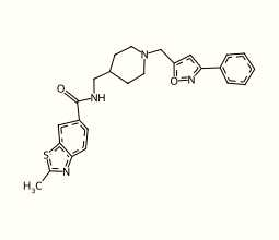 Cc1nc2ccc(C(=O)NCC3CCN(Cc4cc(-c5ccccc5)no4)CC3)cc2s1